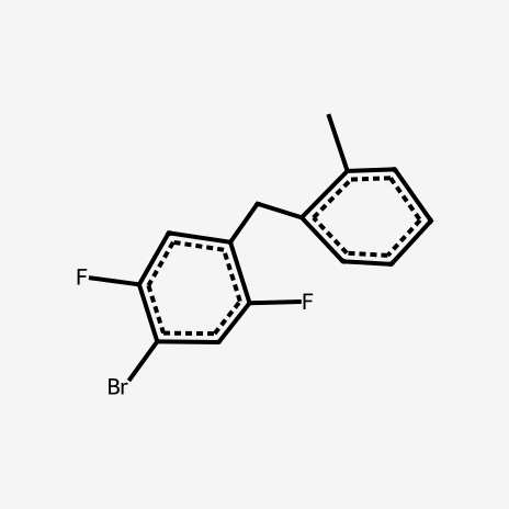 Cc1ccccc1Cc1cc(F)c(Br)cc1F